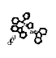 C1=CC[C]([Zr](=[C](c2ccccc2)c2ccccc2)[CH]2c3ccccc3-c3ccccc32)=C1.[Cl-].[Cl-].[Cl-].[Cl-].[Zr+4][CH]1C2C=CC=CC2C2CCCCC12